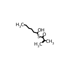 C=C(C)C(=O)SC(O)CCCCC